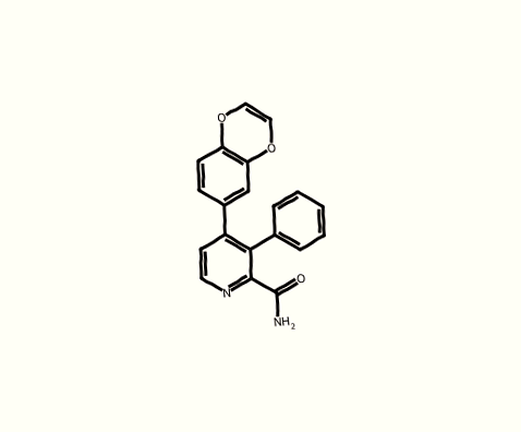 NC(=O)c1nccc(-c2ccc3c(c2)OC=CO3)c1-c1ccccc1